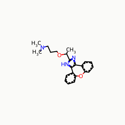 CC(OCCCN(C)C)c1nc2c([nH]1)-c1ccccc1Oc1ccccc1-2